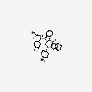 B.CC(C)(C)c1ccc(C(N[S+]([O-])C(C)(C)C)c2c(CP(c3ccccc3)c3ccccc3)n(S(=O)(=O)c3ccccc3)c3ccccc23)cc1